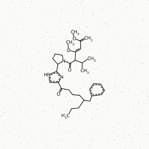 C=C(/C=C(\OC)C(C(=O)N1CCCC1c1nc(C(=O)CCCC(CCC)Cc2ccccc2)c[nH]1)C(C)C)OC